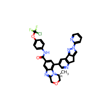 C[C@@H]1COCc2nc3cc(C(=O)Nc4ccc(OC(F)(F)Cl)cc4)cc(-c4cnc5c(c4)-c4nn(-c6ccccn6)cc4C5)c3n21